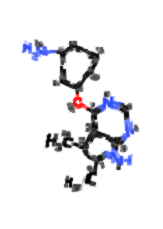 Cc1[nH]c2ncnc(Oc3cccc(N)c3)c2c1C